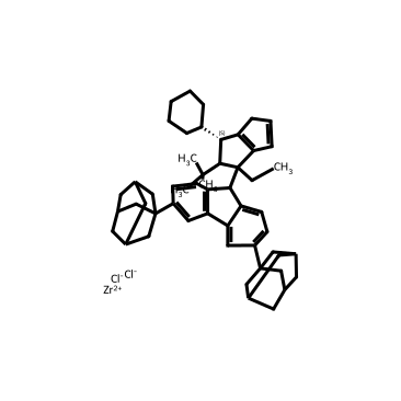 CCC1(C2c3ccc(C45CC6CC(CC(C6)C4)C5)cc3-c3cc(C45CC6CC(CC(C6)C4)C5)ccc32)C2=C(CC=C2)[C@@H](C2CCCCC2)C1C(C)(C)C.[Cl-].[Cl-].[Zr+2]